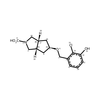 O=C(O)N1C[C@H]2C[C@H](OCc3cccc(O)c3Cl)C[C@H]2C1